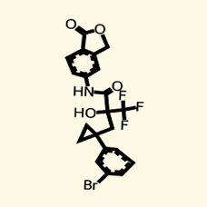 O=C1OCc2cc(NC(=O)C(O)(CC3(c4cccc(Br)c4)CC3)C(F)(F)F)ccc21